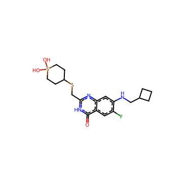 O=c1[nH]c(CSC2CCS(O)(O)CC2)nc2cc(NCC3CCC3)c(F)cc12